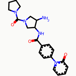 NC1CN(C(=O)N2CCCC2)CC1NC(=O)c1ccc(-n2ccccc2=O)cc1